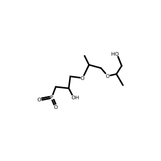 CC(CO)OCC(C)OCC(O)CP(=O)=O